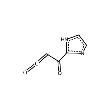 O=C=[C]C(=O)c1ncc[nH]1